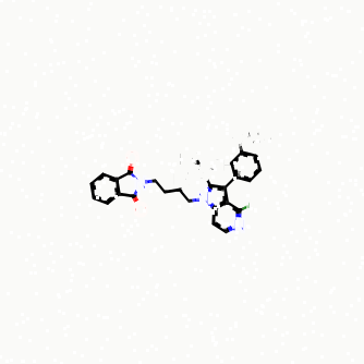 COc1cccc(-c2c([Si](C)(C)C)n(CCCCN3C(=O)c4ccccc4C3=O)c3ccnc(Cl)c23)c1